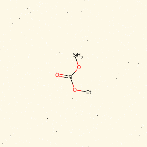 CCO[Si](=O)O[SiH3]